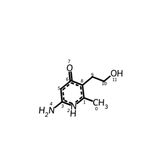 Cc1[nH]c(N)cc(=O)c1CCO